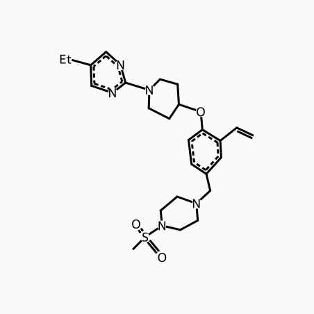 C=Cc1cc(CN2CCN(S(C)(=O)=O)CC2)ccc1OC1CCN(c2ncc(CC)cn2)CC1